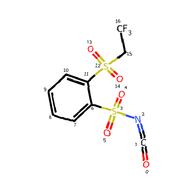 O=C=NS(=O)(=O)c1ccccc1S(=O)(=O)CC(F)(F)F